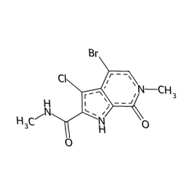 CNC(=O)c1[nH]c2c(=O)n(C)cc(Br)c2c1Cl